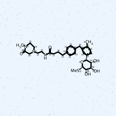 CS[C@H]1O[C@@H](c2ccc(C)c(Cc3ccc(CCCC(=O)NCCN4CCN(C)C(=O)C4)cc3)c2)[C@H](O)[C@@H](O)[C@@H]1O